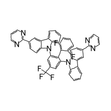 Fc1cccc(F)c1-c1c(-n2c3ccccc3c3cc(-c4ncccn4)ccc32)cc(C(F)(F)F)cc1-n1c2ccccc2c2cc(-c3ncccn3)ccc21